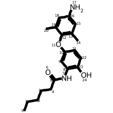 CCCCCC(=O)Nc1cc(Oc2c(C)cc(N)cc2C)ccc1O